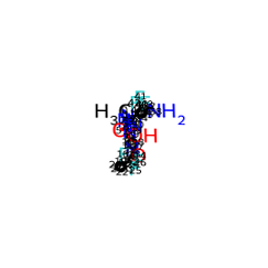 Cn1nc2c(=O)n(CC3(O)CCN(C(=O)C(F)C(c4ccccc4)C(F)F)CC3)cnc2c1-c1ccc(CN)c(C(F)(F)F)c1